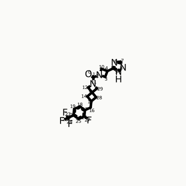 O=C(N1CC(c2ncn[nH]2)C1)N1CC2(CC(Cc3ccc(C(F)(F)F)cc3F)C2)C1